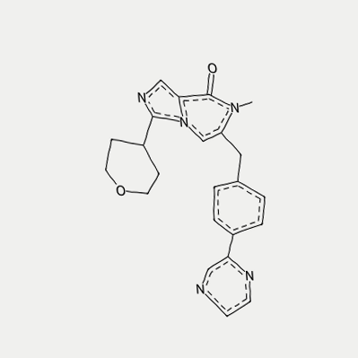 Cn1c(Cc2ccc(-c3cnccn3)cc2)cn2c(C3CCOCC3)ncc2c1=O